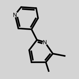 Cc1ccc(-c2cccnc2)nc1C